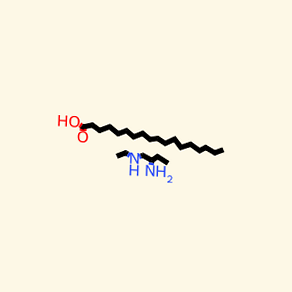 CCCCCCCCCCCCCCCCCC(=O)O.CCNCC(N)CC